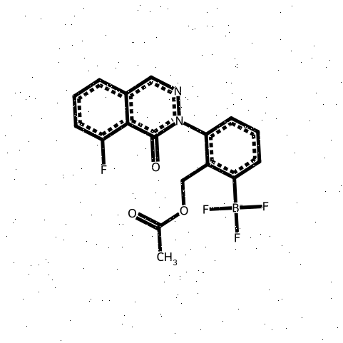 CC(=O)OCc1c(-n2ncc3cccc(F)c3c2=O)cccc1[B-](F)(F)F